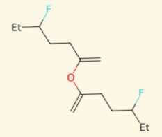 C=C(CCC(F)CC)OC(=C)CCC(F)CC